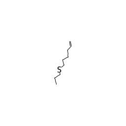 C=CCCCCSCCC